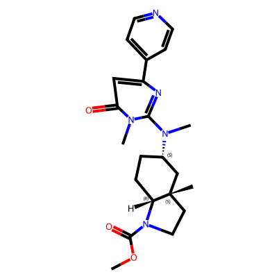 COC(=O)N1CC[C@@]2(C)C[C@@H](N(C)c3nc(-c4ccncc4)cc(=O)n3C)CC[C@@H]12